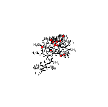 CO[Si](C)([SiH3])[Si](O[SiH2]O)([SiH](C)O)[SiH](C)C[Si](C)([SiH3])O[Si](O[Si](=O)O[SiH3])(O[Si](O[SiH3])(O[SiH3])O[SiH3])O[Si](OO[Si](O[Si](O[SiH3])(O[SiH3])O[SiH3])(O[Si](O[SiH3])(O[SiH3])O[SiH3])O[Si](O[SiH3])(O[SiH3])O[SiH3])(O[Si](O[SiH3])(O[SiH3])O[SiH2]C)O[Si](O[Si](O[SiH3])(O[SiH3])O[SiH3])(O[Si](O[SiH3])(O[SiH3])O[SiH3])O[Si](O[SiH3])(O[SiH3])O[SiH3]